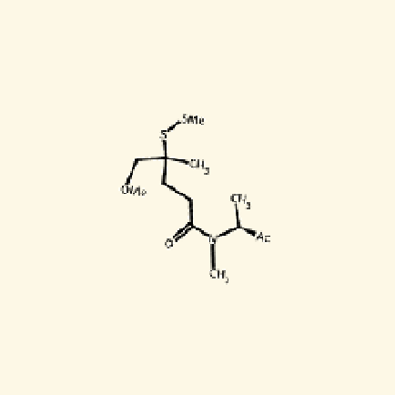 COCC(C)(CCC(=O)N(C)[C@@H](C)C(C)=O)SSC